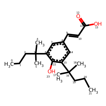 CCCC(C)(C)c1cc(/C=C/C(=O)O)cc(C(C)(C)CCC)c1O